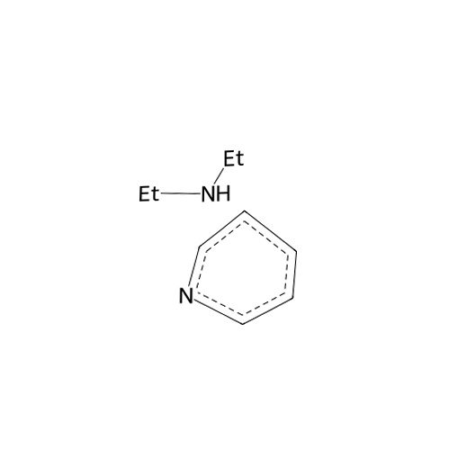 CCNCC.c1ccncc1